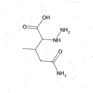 CC(CC(N)=O)C(NN)C(=O)O